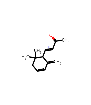 C=C1C=CCC(C)(C)C1/C=C/C(C)=O